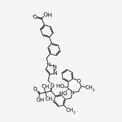 Cc1ccc(C(OCc2cn(Cc3cccc(-c4ccc(C(=O)O)cc4)c3)nn2)C(C)(C)C(=O)O)cc1CN1CC(C)Oc2ccccc2S1(O)O